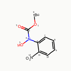 CC(C)(C)OC(=O)N(O)c1ccccc1[N+](=O)[O-]